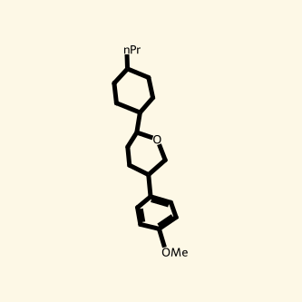 CCCC1CCC(C2CCC(c3ccc(OC)cc3)CO2)CC1